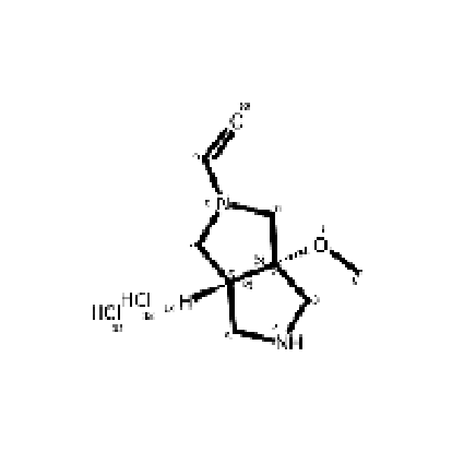 CO[C@]12CNC[C@@H]1CN(C=O)C2.Cl.Cl